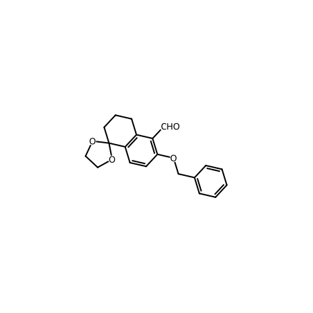 O=Cc1c(OCc2ccccc2)ccc2c1CCCC21OCCO1